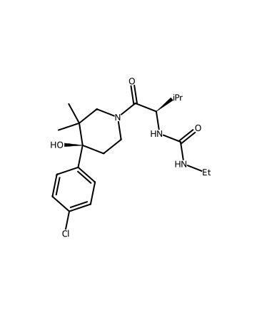 CCNC(=O)N[C@@H](C(=O)N1CC[C@](O)(c2ccc(Cl)cc2)C(C)(C)C1)C(C)C